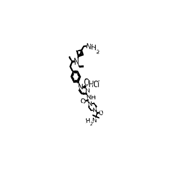 CCN(C(C)Cc1ccc(-n2ccc(NC(=O)N3CCN(C(=O)C(C)(C)N)CC3)nc2=O)cc1)C12CC(CN)(C1)C2.Cl